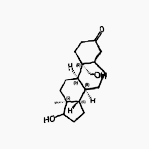 C[C@]12CC[C@@H]3[C@@H](CCC4CC(=O)CC[C@@]43CO)[C@@H]1CCC2O